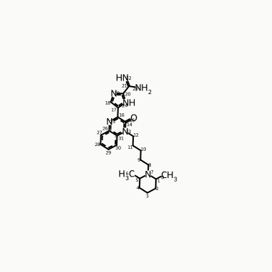 CC1CCCC(C)N1CCCCCn1c(=O)c(-c2cnc(C(=N)N)[nH]2)nc2ccccc21